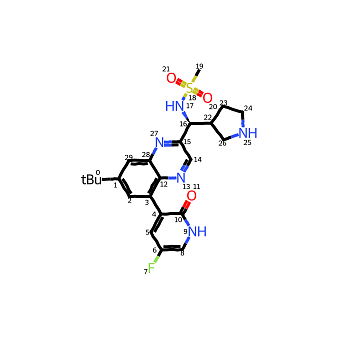 CC(C)(C)c1cc(-c2cc(F)c[nH]c2=O)c2ncc([C@@H](NS(C)(=O)=O)C3CCNC3)nc2c1